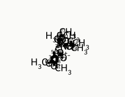 COc1cc(CSC[C@H](NC(=O)OC(C)(C)C)C(=O)OC(C)(C)C)c([N+](=O)[O-])cc1OC